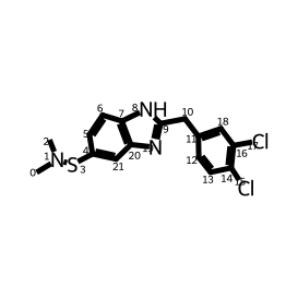 CN(C)Sc1ccc2[nH]c(Cc3ccc(Cl)c(Cl)c3)nc2c1